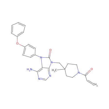 C=CC(=O)N1CCC(C)(Cn2c(=O)n(-c3ccc(Oc4ccccc4)cc3)c3c(N)ncnc32)CC1